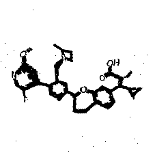 COc1cc(-c2ccc(C3CCc4ccc(C(C5CC5)[C@H](C)C(=O)O)cc4O3)cc2CN2CCC2C)c(F)cn1